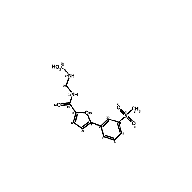 CS(=O)(=O)c1cccc(-c2ccc(C(=O)NCNC(=O)O)o2)c1